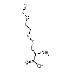 NC(CSSCCOC=O)C(=O)O